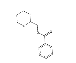 O=C(OCC1[C]CCCO1)c1ccccc1